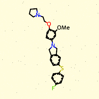 COc1cc(N2Cc3ccc(Sc4ccc(F)cc4)cc3C2)ccc1OCCN1CCCC1